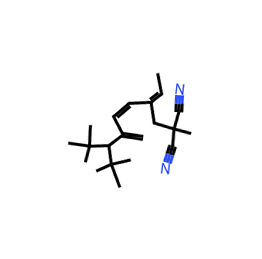 C=C(/C=C\C(=C/C)CC(C)(C#N)C#N)C(C(C)(C)C)C(C)(C)C